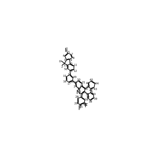 CC1(C)c2cc(F)ccc2-c2ccc(-c3cccc(-c4ccc5c(c4)nc(-c4ccc(F)c(F)c4)c4c6ccccc6c6ccccc6c54)c3)cc21